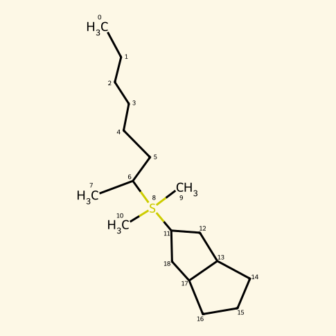 CCCCCCC(C)S(C)(C)C1CC2CCCC2C1